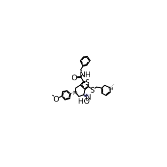 COc1ccc([C@H]2C/C(=N\O)c3c(SCC4=CC=C[C@@H](C)C4)sc(C(=O)NCc4ccccc4)c3C2)cc1